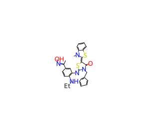 CCNc1ccc(C(C)=NO)cc1N=C1SC(=C2Sc3ccccc3N2C)C(=O)N1Cc1ccccc1